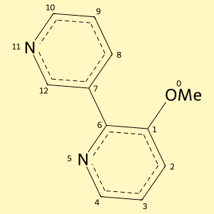 COc1cccnc1-c1cccnc1